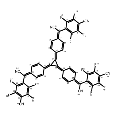 N#CC(c1c(F)c(F)c(C#N)c(F)c1F)=c1ccc(=C2C(=c3ccc(=C(C#N)c4c(F)c(F)c(C#N)c(F)c4F)cc3)C2=c2ccc(=C(C#N)c3c(F)c(F)c(C#N)c(F)c3F)cc2)cc1